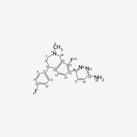 CN1CCC(c2ccc(F)cc2)c2ccc(-c3ccc(N)nn3)c(F)c2C1